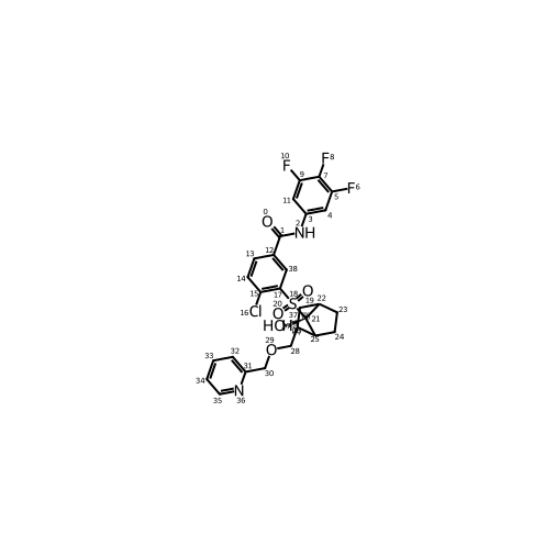 O=C(Nc1cc(F)c(F)c(F)c1)c1ccc(Cl)c(S(=O)(=O)[C@@H]2C3CCC2[C@@](O)(COCc2ccccn2)C3)c1